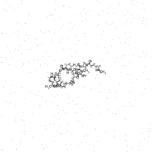 CCn1c(-c2cccnc2[C@H](C)OC)c2c3cc(ccc31)-c1csc(n1)C[C@H](NC(=O)[C@H](C(C)C)N(C)C(=O)N(C)C1CN(C(=O)/C=C/C3CN(C)C3)C1)C(=O)N1CCC[C@H](N1)C(=O)OCC(C)(C)C2